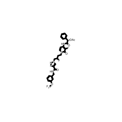 CC(=O)O[C@H](C(=O)Nc1ccn(CCC(F)Cn2cc(C(=O)NCc3cccc(OC(F)(F)F)c3)nn2)c(=O)c1F)c1ccccc1